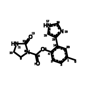 Cc1ccc(OC(=O)N2CCNC2=O)c(-c2c[nH]cn2)c1